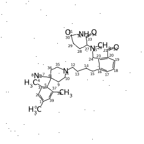 Cc1cc(C)c(C2(C#N)CCN(CCCCc3cccc(C=O)c3CN(C)C3CCC(=O)NC3=O)CC2)c(C)c1